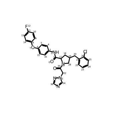 O=C(Nc1ccc(Oc2ccc(F)cc2)cc1)C1CC(Cc2ccccc2Cl)CN1C(=O)Cn1cncn1